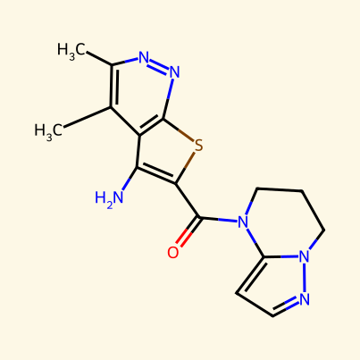 Cc1nnc2sc(C(=O)N3CCCn4nccc43)c(N)c2c1C